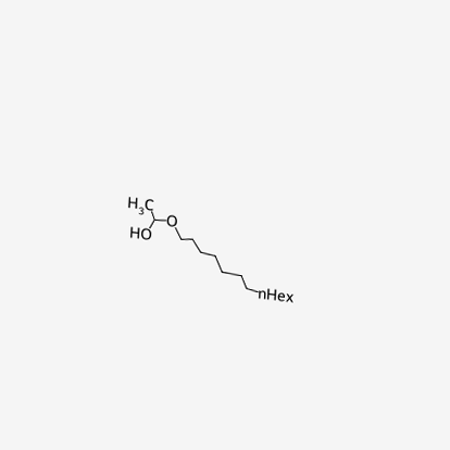 CCCCCCCCCCCCCOC(C)O